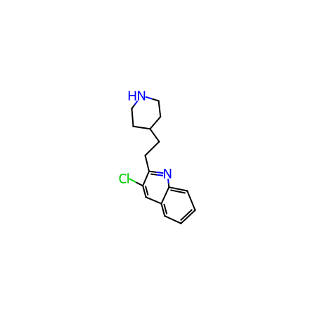 Clc1cc2ccccc2nc1CCC1CCNCC1